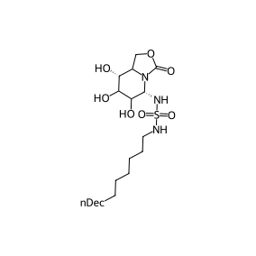 CCCCCCCCCCCCCCCCNS(=O)(=O)N[C@@H]1C(O)C(O)[C@H](O)C2COC(=O)N21